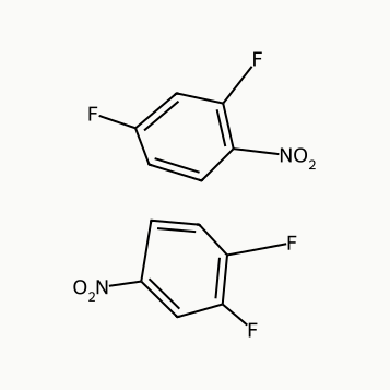 O=[N+]([O-])c1ccc(F)c(F)c1.O=[N+]([O-])c1ccc(F)cc1F